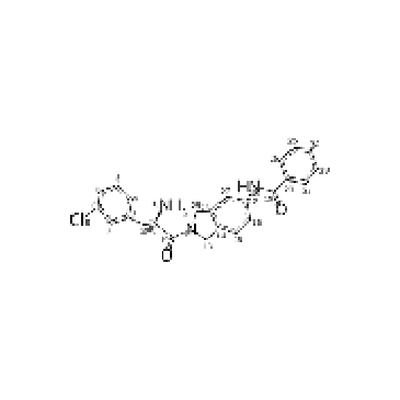 N[C@H](Cc1cccc(Cl)c1)C(=O)N1Cc2ccc(NC(=O)c3ccccc3)cc2C1